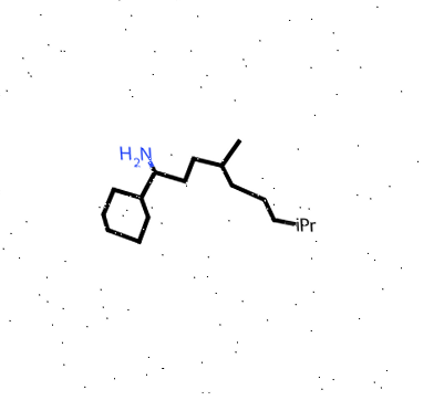 CC(C)CCCC(C)CCC(N)C1CCCCC1